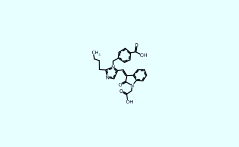 CCCCc1ncc(/C=C2\C(=O)N(CC(=O)O)c3ccccc32)n1Cc1ccc(C(=O)O)cc1